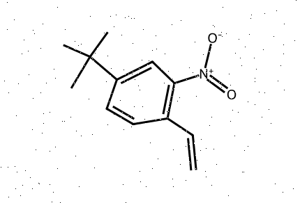 C=Cc1ccc(C(C)(C)C)cc1[N+](=O)[O-]